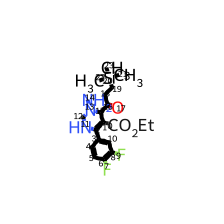 CCOC(=O)C1=C(c2ccc(F)c(F)c2)NCN(N)C1C(=O)CC[Si](C)(C)C